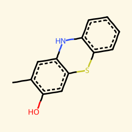 Cc1cc2c(cc1O)Sc1ccccc1N2